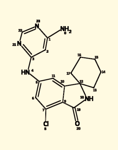 Nc1cc(Nc2cc(Cl)c3c(c2)C2(CCCCC2)NC3=O)ncn1